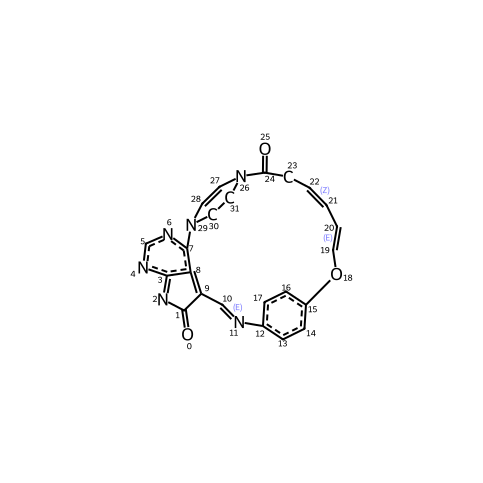 O=C1N=c2ncnc3c2=C1/C=N/c1ccc(cc1)O/C=C/C=C\CC(=O)N1C=CN3CC1